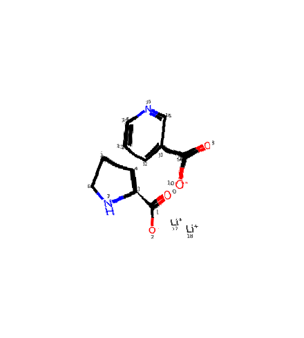 O=C([O-])[C@@H]1CCCN1.O=C([O-])c1cccnc1.[Li+].[Li+]